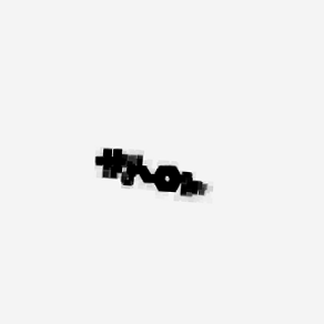 CCC(C)(C)C(C)(C)NC(=O)CCc1ccc(BC(C)C)cc1